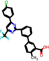 Cc1ccc(-c2cccc(-c3nc(-c4ccc(Cl)cc4)cc(C(F)(F)F)n3)c2)cc1C(=O)O